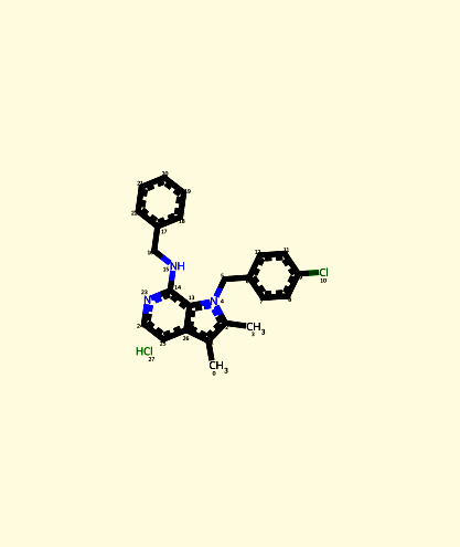 Cc1c(C)n(Cc2ccc(Cl)cc2)c2c(NCc3ccccc3)nccc12.Cl